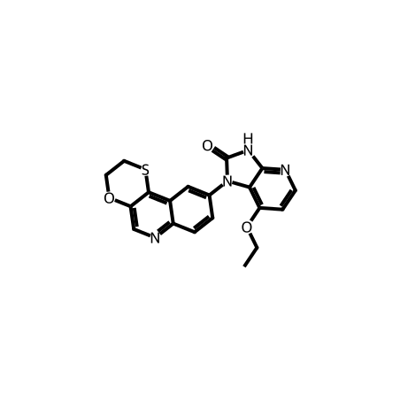 CCOc1ccnc2[nH]c(=O)n(-c3ccc4ncc5c(c4c3)SCCO5)c12